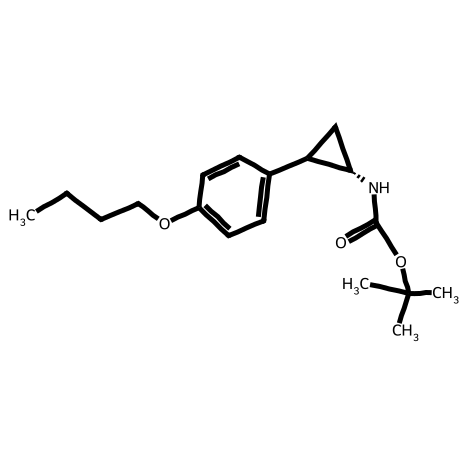 CCCCOc1ccc(C2C[C@@H]2NC(=O)OC(C)(C)C)cc1